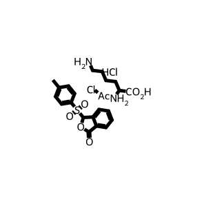 CC(=O)Cl.Cc1ccc(S(=O)(=O)C2OC(=O)c3ccccc32)cc1.Cl.NCCCCC(N)C(=O)O